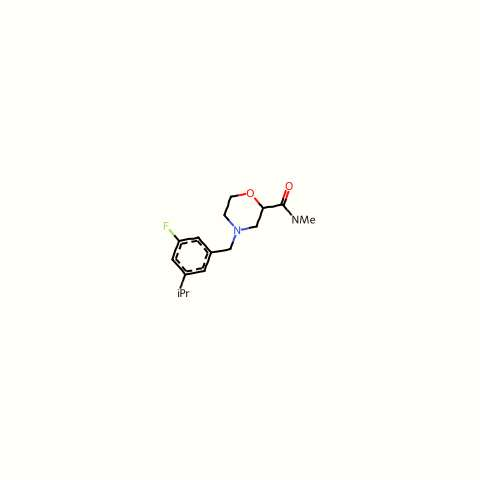 CNC(=O)C1CN(Cc2cc(F)cc(C(C)C)c2)CCO1